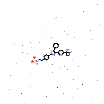 NC1(c2ccc(-c3nc(-c4ccc(CCN[SH](=O)=O)cc4)sc3-c3ccccc3)cc2)CCC1